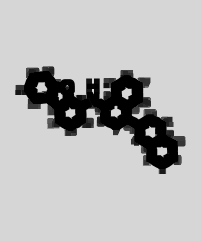 c1ccc2cc(-c3ccc(Nc4cccc5c4oc4ccccc45)c4ccccc34)ccc2c1